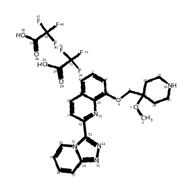 COC1(COc2cccc3ccc(-c4nnc5ccccn45)nc23)CCNCC1.O=C(O)C(F)(F)F.O=C(O)C(F)(F)F